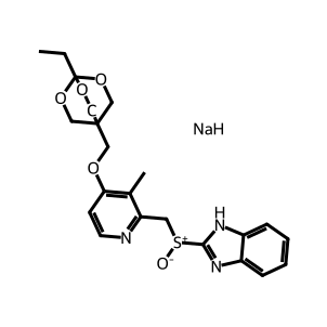 CCC12OCC(COc3ccnc(C[S+]([O-])c4nc5ccccc5[nH]4)c3C)(CO1)CO2.[NaH]